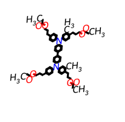 CCC(=O)OCCCc1ccc(N(c2ccc(-c3ccc(N(c4ccc(CCCOC(=O)CC)cc4)c4ccc(CCCOC(=O)CC)c(C)c4)cc3)cc2)c2ccc(CCCOC(=O)CC)c(C)c2)cc1